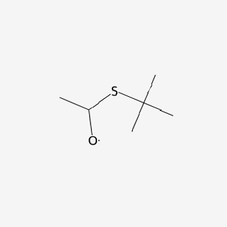 CC([O])SC(C)(C)C